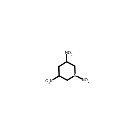 O=[N+]([O-])C1CC([N+](=O)[O-])CN([N+](=O)[O-])C1